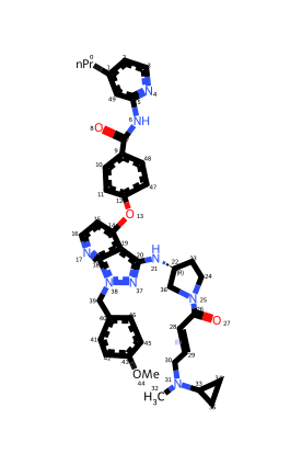 CCCc1ccnc(NC(=O)c2ccc(Oc3ccnc4c3c(N[C@@H]3CCN(C(=O)/C=C/CN(C)C5CC5)C3)nn4Cc3ccc(OC)cc3)cc2)c1